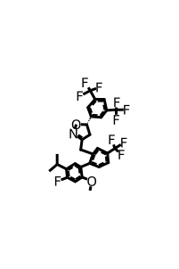 COc1cc(F)c(C(C)C)cc1-c1ccc(C(F)(F)F)cc1CC1=NO[C@H](c2cc(C(F)(F)F)cc(C(F)(F)F)c2)C1